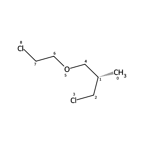 C[C@H](CCl)COCCCl